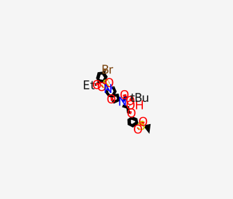 CCOc1ccc(Br)cc1S(=O)(=O)N1CCC2(CC1)C[C@H](N(C[C@H](O)COc1cccc(S(=O)(=O)C3CC3)c1)C(=O)OC(C)(C)C)CO2